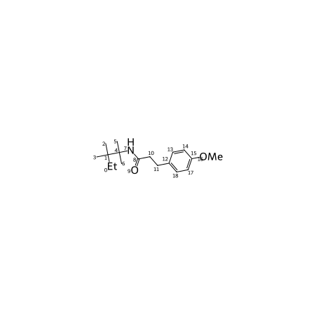 CCC(C)(C)C(C)(C)NC(=O)CCc1ccc(OC)cc1